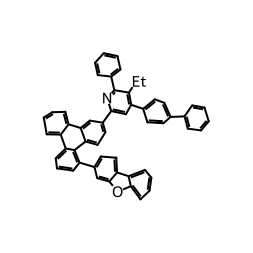 CCc1c(-c2ccc(-c3ccccc3)cc2)cc(-c2ccc3c(c2)c2ccccc2c2cccc(-c4ccc5c(c4)oc4ccccc45)c23)nc1-c1ccccc1